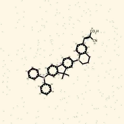 CC1(C)c2cc(N3CCCc4cc(/C=C(\C#N)C(=O)O)ccc43)ccc2-c2ccc(N(c3ccccc3)c3ccccc3)cc21